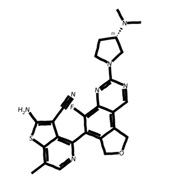 Cc1cnc(-c2c3c(c4cnc(N5CC[C@H](N(C)C)C5)nc4c2F)COC3)c2c(C#N)c(N)sc12